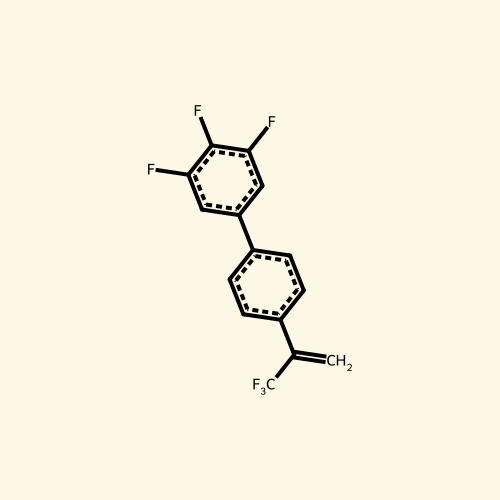 C=C(c1ccc(-c2cc(F)c(F)c(F)c2)cc1)C(F)(F)F